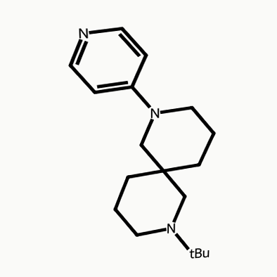 CC(C)(C)N1CCCC2(CCCN(c3ccncc3)C2)C1